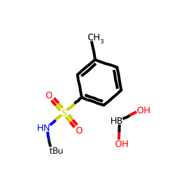 Cc1cccc(S(=O)(=O)NC(C)(C)C)c1.OBO